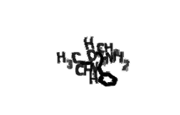 CC(C)CNC(c1ccccc1)[C@H](N)[C@@H](C)O